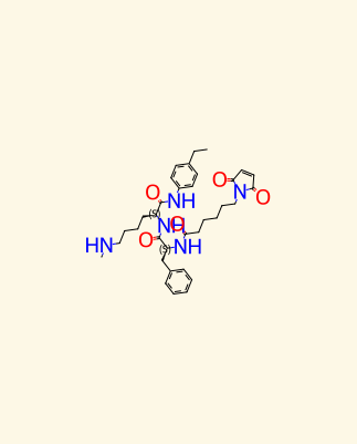 CCc1ccc(NC(=O)[C@H](CCCCNC)NC(=O)[C@H](Cc2ccccc2)NC(=O)CCCCCN2C(=O)C=CC2=O)cc1